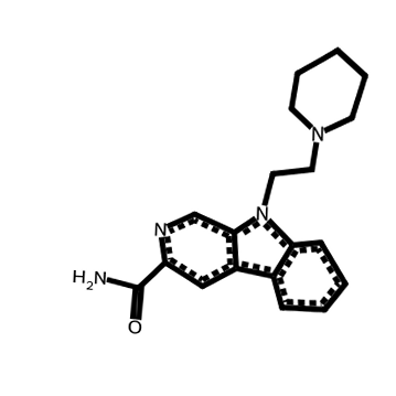 NC(=O)c1cc2c3ccccc3n(CCN3CCCCC3)c2cn1